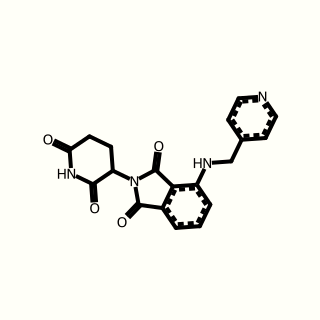 O=C1CCC(N2C(=O)c3cccc(NCc4ccncc4)c3C2=O)C(=O)N1